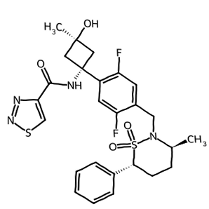 C[C@H]1CC[C@H](c2ccccc2)S(=O)(=O)N1Cc1cc(F)c([C@]2(NC(=O)c3csnn3)C[C@](C)(O)C2)cc1F